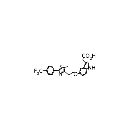 Cc1sc(-c2ccc(C(F)(F)F)cc2)nc1CCOc1ccc2[nH]cc(CC(=O)O)c2c1